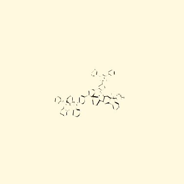 CC1(C)c2ccccc2-c2cc3c4ccccc4n(-c4ccc(-c5nc(-c6ccccc6)cc(-c6ccccc6)n5)cc4-c4ccc(-c5ccc(N6c7ccccc7B7c8ccccc8N(c8ccccc8)c8cccc6c87)cc5)cc4)c3cc21